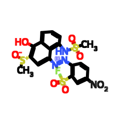 C[S+]([O-])c1cc(/N=N/c2ccc([N+](=O)[O-])cc2S(=O)(=O)F)c2c(NS(C)(=O)=O)cccc2c1O